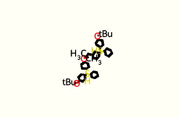 CC(C)(C)Oc1ccc([SH](c2ccccc2)c2ccc(OC(C)(C)Cc3cccc([SH](c4ccccc4)c4ccc(OC(C)(C)C)cc4)c3)cc2)cc1